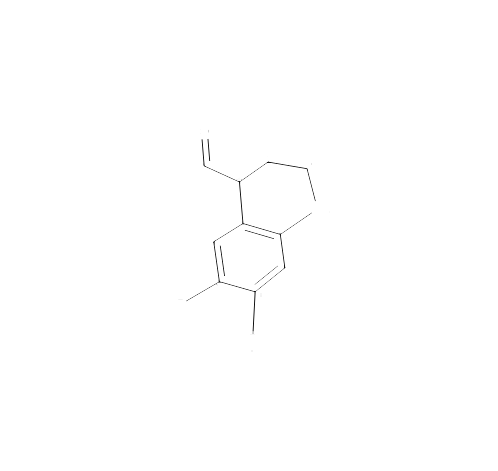 O=CC1CCSc2cc(F)c(F)cc21